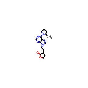 CC1CCCN1c1ncnc2c1ncn2CCC1CCOC1=O